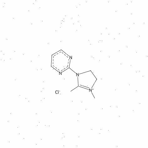 CC1=[N+](C)CCN1c1ncccn1.[Cl-]